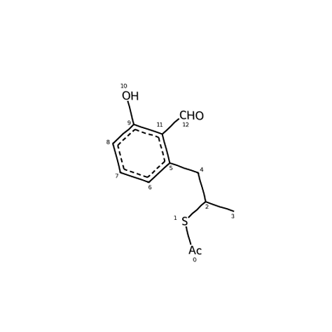 CC(=O)SC(C)Cc1cccc(O)c1C=O